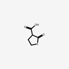 O=C(O)C1CCSC1=O